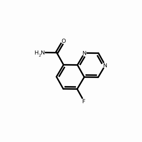 NC(=O)c1ccc(F)c2cncnc12